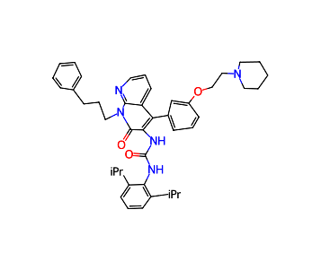 CC(C)c1cccc(C(C)C)c1NC(=O)Nc1c(-c2cccc(OCCN3CCCCC3)c2)c2cccnc2n(CCCc2ccccc2)c1=O